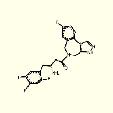 N[C@@H](CC(=O)N1Cc2cc(F)ccc2N2C=NNC2C1)Cc1cc(F)c(F)cc1F